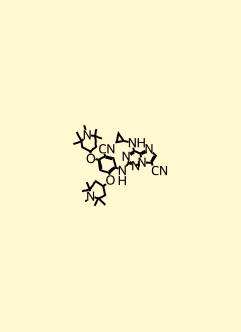 CN1C(C)(C)CC(Oc2cc(OC3CC(C)(C)N(C)C(C)(C)C3)c(Nc3nc(NC4CC4)c4ncc(C#N)n4n3)cc2C#N)CC1(C)C